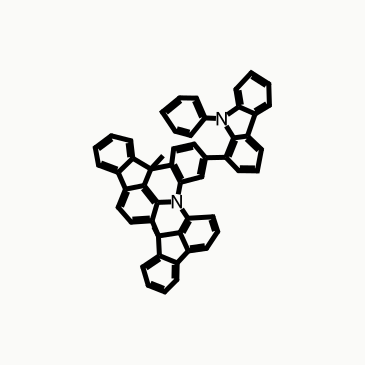 CC12c3ccccc3-c3cccc(c31)N1c3cc(-c4cccc5c6ccccc6n(-c6ccccc6)c45)ccc3C3(C)c4ccccc4-c4ccc2c1c43